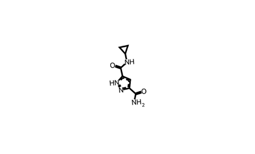 NC(=O)c1cc(C(=O)NC2CC2)[nH]n1